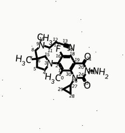 Cc1c(N2CCC(C)(CN(C)CCC#N)C2)c(F)cc2c(=O)n(N)c(=O)n(C3CC3)c12